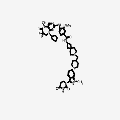 COc1cc(C(=O)NC2CC3(CCN(CC4CCN(c5ccc6c(N7CCC(=O)NC7=O)nn(C)c6c5)CC4)CC3)C2)ccc1Nc1ncc2c(n1)N(C1CCCC1)CC(F)(F)C(=O)N2C